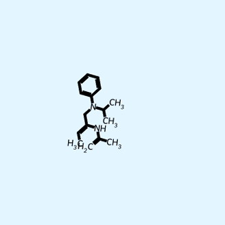 C=C(C)N/C(=C\C)CN(c1ccccc1)C(C)C